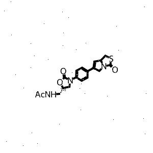 CC(=O)NC[C@H]1CN(c2ccc(C3=CC4CSC(=O)N4C3)cc2)C(=O)O1